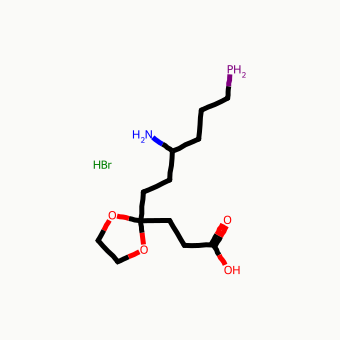 Br.NC(CCCP)CCC1(CCC(=O)O)OCCO1